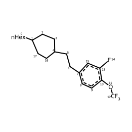 CCCCCCC1CCC(CCc2ccc(OC(F)(F)F)c(F)c2)CC1